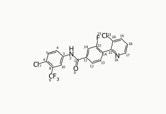 O=C(Nc1ccc(Cl)c(C(F)(F)F)c1)c1ccc(-c2ncccc2Cl)c(F)c1